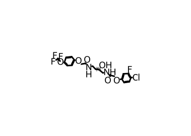 O=C(COc1ccc(OC(F)(F)F)cc1)NCC[C@H](O)CNC(=O)COc1ccc(Cl)c(F)c1